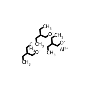 CCC(CC)C[O-].CCC(CC)C[O-].CCC(CC)C[O-].[Al+3]